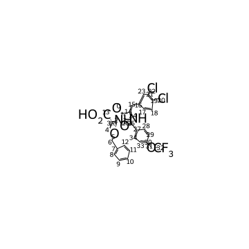 O=C(N[C@H](COCc1ccccc1)C(=O)O)C(=Cc1ccc(Cl)c(Cl)c1)NC(=O)c1ccc(OC(F)(F)F)cc1